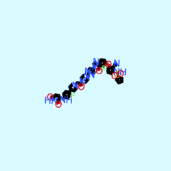 N#Cc1c(NS(=O)(=O)C2CCCC2)ccc(F)c1Oc1ccc2ncn(-c3cnc(N4CCN(C(=O)CN5CCC(c6ccc(N[C@H]7CCC(=O)NC7=O)cc6F)CC5)CC4)nc3)c(=O)c2c1